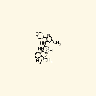 Cc1cnc(C2CCOCC2)c(NC(=O)N[C@@H]2c3ccccc3C(C)(C)C[C@H]2O)c1